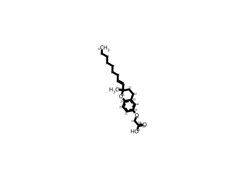 CCCCCCC/C=C/C1(C)CCc2cc(OCC(=O)O)ccc2O1